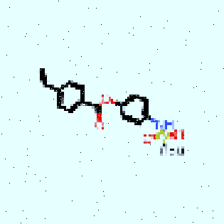 C=Cc1ccc(C(=O)Oc2ccc(NS(=O)(=O)CCCC)cc2)cc1